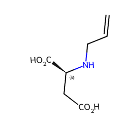 C=CCN[C@@H](CC(=O)O)C(=O)O